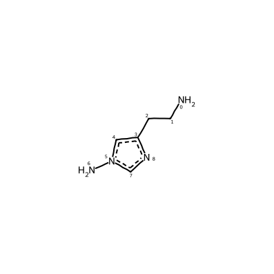 NCCc1cn(N)cn1